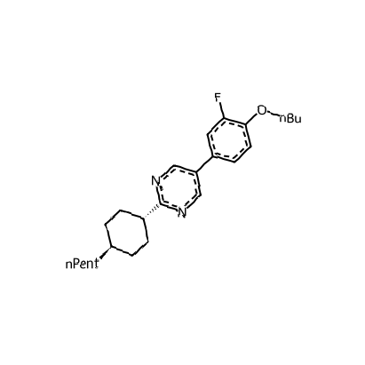 CCCCC[C@H]1CC[C@H](c2ncc(-c3ccc(OCCCC)c(F)c3)cn2)CC1